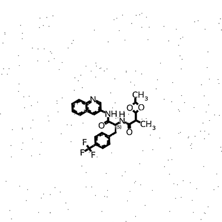 CC1OC(C(C)C(=O)N[C@@H](Cc2ccc(C(F)(F)F)cc2)C(=O)Nc2cnc3ccccc3c2)O1